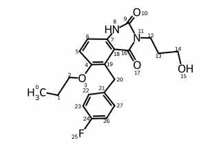 CCCOc1ccc2[nH]c(=O)n(CCCO)c(=O)c2c1Cc1ccc(F)cc1